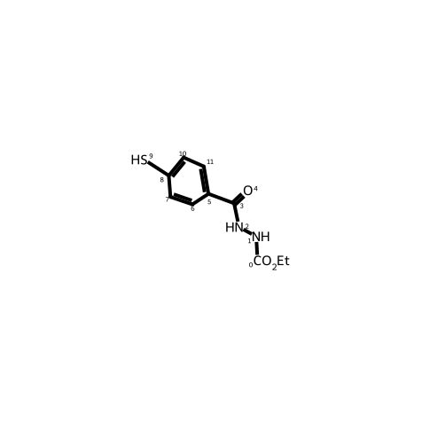 CCOC(=O)NNC(=O)c1ccc(S)cc1